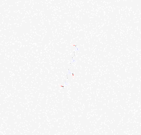 O=C(NCCCNCCCN(CCCNC(=O)C(F)(F)F)C(=O)C(F)(F)F)C(F)(F)F